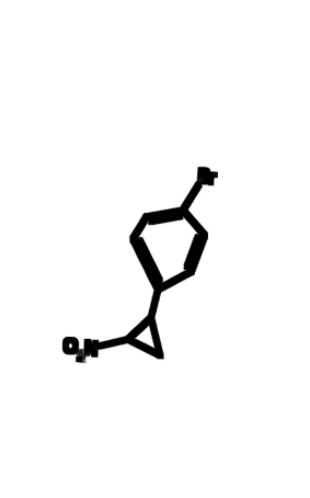 O=[N+]([O-])C1CC1c1ccc(Br)cc1